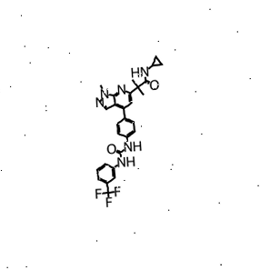 Cn1ncc2c(-c3ccc(NC(=O)Nc4cccc(C(F)(F)F)c4)cc3)cc(C(C)(C)C(=O)NC3CC3)nc21